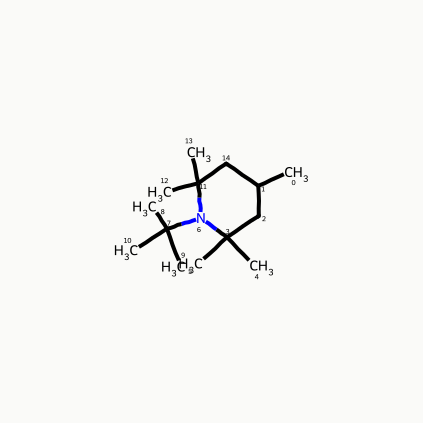 CC1CC(C)(C)N(C(C)(C)C)C(C)(C)C1